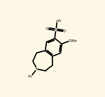 CCCS(=O)(=O)c1cc2c(cc1OC)CCN(C(C)=O)CC2